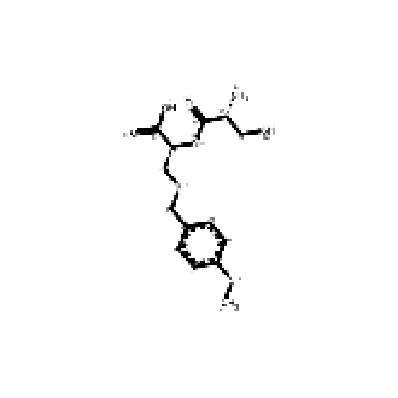 CSc1ccc(CSC[C@H](NC(=O)[C@H](C)CS)C(=O)O)cc1